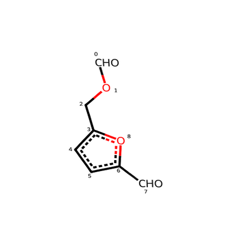 O=COCc1ccc(C=O)o1